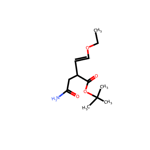 CCO[C]=CC(CC(N)=O)C(=O)OC(C)(C)C